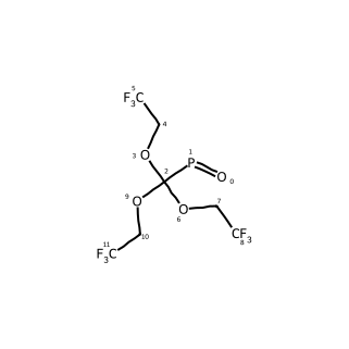 O=PC(OCC(F)(F)F)(OCC(F)(F)F)OCC(F)(F)F